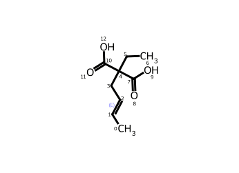 C/C=C/CC(CC)(C(=O)O)C(=O)O